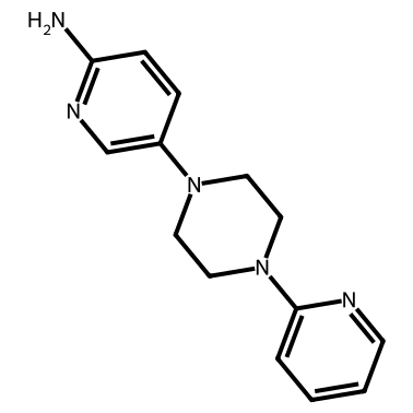 Nc1ccc(N2CCN(c3ccccn3)CC2)cn1